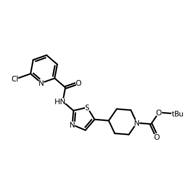 CC(C)(C)OC(=O)N1CCC(c2cnc(NC(=O)c3cccc(Cl)n3)s2)CC1